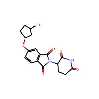 C[C@@H]1CC[C@H](Oc2ccc3c(c2)C(=O)N(C2CCC(=O)NC2=O)C3=O)C1